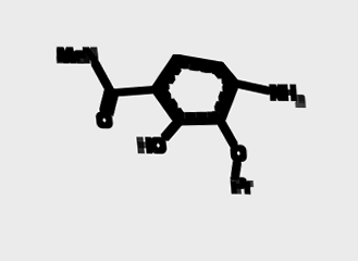 CNC(=O)c1ccc(N)c(OC(C)C)c1O